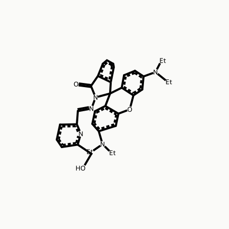 CCN(CC)c1ccc2c(c1)Oc1cc(N(CC)CC)ccc1C21c2ccccc2C(=O)N1N=Cc1cccc(CO)n1